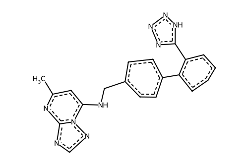 Cc1cc(NCc2ccc(-c3ccccc3-c3nnn[nH]3)cc2)n2ncnc2n1